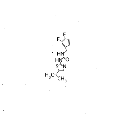 CC(C)c1cnc(NC(=O)NCc2ccc(F)c(F)c2)s1